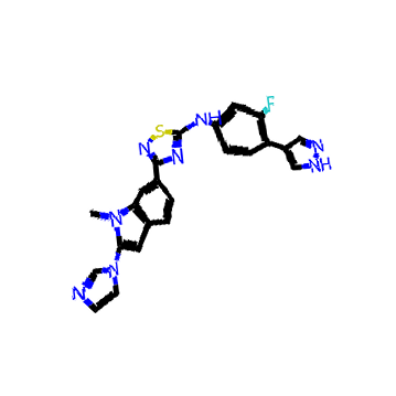 Cn1c(-n2ccnc2)cc2ccc(-c3nsc(Nc4ccc(-c5cn[nH]c5)c(F)c4)n3)cc21